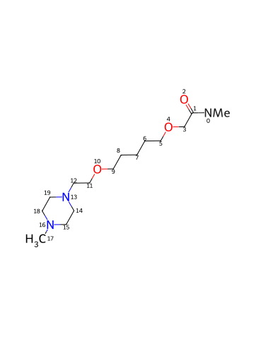 CNC(=O)COCCCCCOCCN1CCN(C)CC1